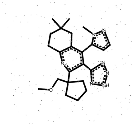 COCC1(c2nc3c(c(-c4ccnn4C)c2-c2nn[nH]n2)CC(C)(C)CC3)CCCC1